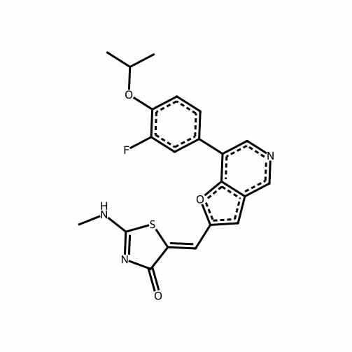 CNC1=NC(=O)C(=Cc2cc3cncc(-c4ccc(OC(C)C)c(F)c4)c3o2)S1